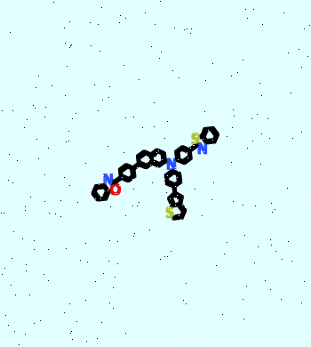 c1csc2cc(-c3ccc(N(c4ccc(-c5nc6ccccc6s5)cc4)c4ccc5ccc(-c6ccc(-c7nc8ccccc8o7)cc6)cc5c4)cc3)cc-2c1